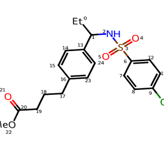 CCC(NS(=O)(=O)c1ccc(Cl)cc1)c1ccc(CCCC(=O)OC)cc1